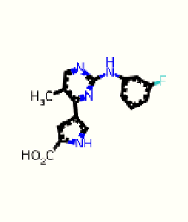 Cc1cnc(Nc2cccc(F)c2)nc1-c1c[nH]c(C(=O)O)c1